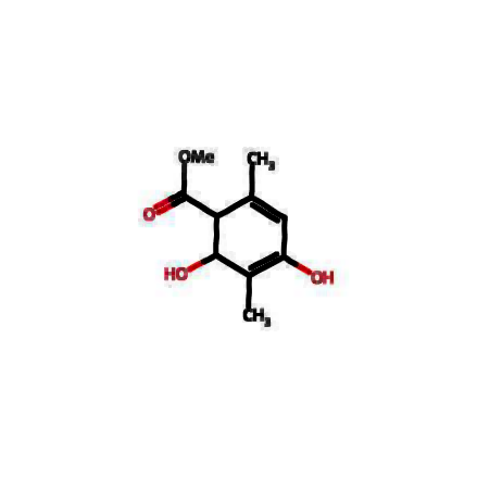 COC(=O)C1C(C)=CC(O)=C(C)C1O